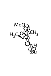 CC#CCn1c(N2CCCC(NC(=O)OC(C)(C)C)C2)nc2c1c(=O)n(CC(=O)OC)c(=O)n2C